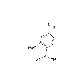 COc1cc(N)ccc1B(O)O